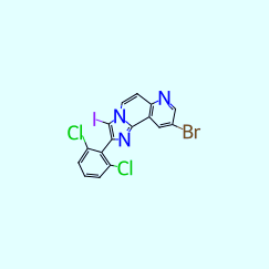 Clc1cccc(Cl)c1-c1nc2c3cc(Br)cnc3ccn2c1I